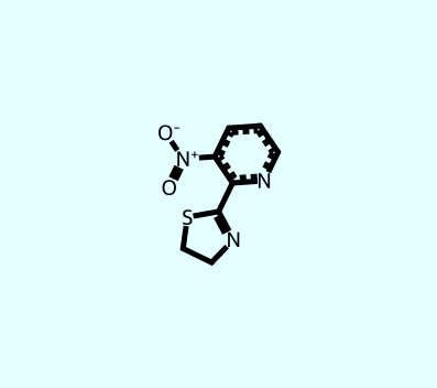 O=[N+]([O-])c1cccnc1C1=NCCS1